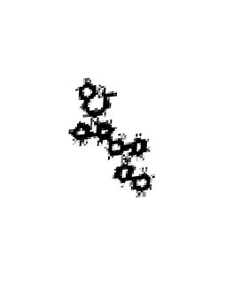 C=C1/C=C\C(n2c3ccccc3c3cc(-c4ccc5c(c4)c4ccccc4n5-c4cccc(-c5ccccc5)c4)ccc32)=C/CC2=C(C=CCC2)O1